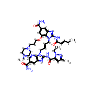 CC/C=C/C(=O)Nc1nc2cc(C(N)=O)cc(OCCCN3CCN(C)CC3)c2n1C/C=C/Cn1c(NC(=O)c2cc(C)nn2CC)nc2cc(C(N)=O)cnc21